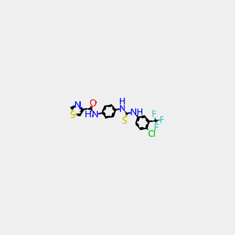 O=C(Nc1ccc(NC(=S)Nc2ccc(Cl)c(C(F)(F)F)c2)cc1)c1cscn1